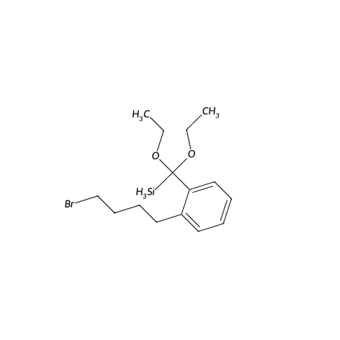 CCOC([SiH3])(OCC)c1ccccc1CCCCBr